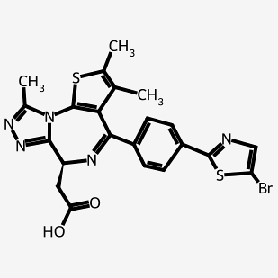 Cc1sc2c(c1C)C(c1ccc(-c3ncc(Br)s3)cc1)=N[C@@H](CC(=O)O)c1nnc(C)n1-2